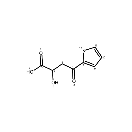 O=C(CC(O)C(=O)O)c1cccs1